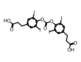 O=C(O)CCc1cc(I)c(OC(=O)Oc2c(I)cc(CCC(=O)O)cc2I)c(I)c1